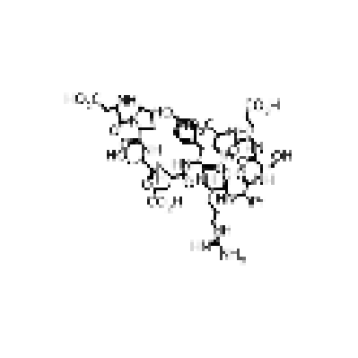 CC(C)C[C@H](NC(=O)[C@H](CCC(=O)O)NC(=O)[C@H](CO)NC(=O)[C@@H](NC(=O)[C@H](CCCNC(=N)N)NC(=O)[C@H](Cc1ccc(O)cc1)NC(=O)[C@H](CCC(=O)O)NC(=O)[C@H](CO)NC(=O)[C@@H]1CCCN1C(=O)[C@@H](N)CC(=O)O)C(C)C)C(=O)O